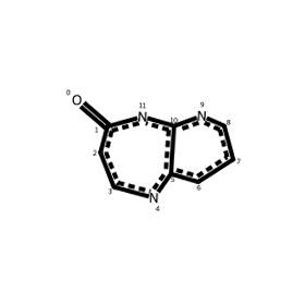 O=c1ccnc2cccnc2n1